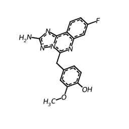 COc1cc(Cc2nc3cc(F)ccc3c3nc(N)nn23)ccc1O